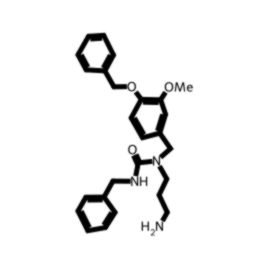 COc1cc(CN(CCCN)C(=O)NCc2ccccc2)ccc1OCc1ccccc1